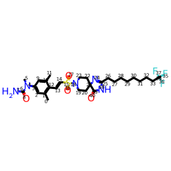 Cc1cc(N(C)C(N)=O)cc(C)c1/C=C/S(=O)(=O)N1CCC2(CC1)N=C(CCCCCCCCC(F)(F)F)NC2=O